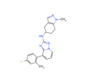 Cc1cc(F)ccc1-c1cccn2nc(NC3CCc4c(cnn4C)C3)nc12